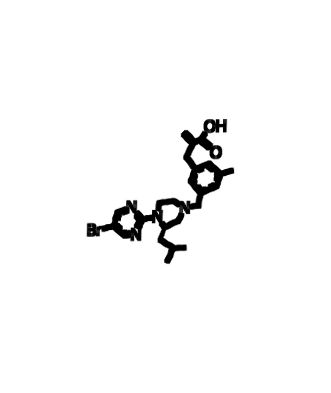 C=C(Cc1cc(C)cc(CN2CCN(c3ncc(Br)cn3)[C@H](CC(C)C)C2)c1)C(=O)O